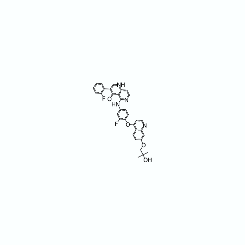 CC(C)(O)COc1ccc2c(Oc3ccc(Nc4nccc5[nH]cc(-c6ccccc6F)c(=O)c45)cc3F)ccnc2c1